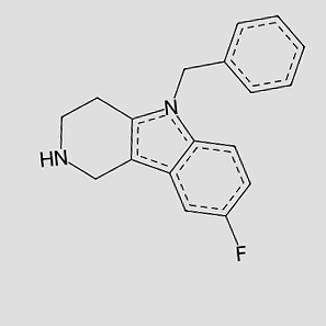 Fc1ccc2c(c1)c1c(n2Cc2ccccc2)CCNC1